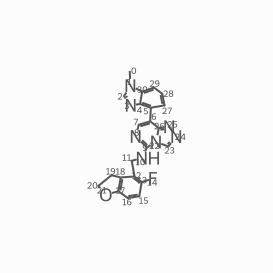 Cn1cnc2c(-c3cnc(NCc4c(F)ccc5c4CCO5)n4cnnc34)cccc21